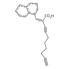 C#CCCCCC#C/C(=C/c1cccc2ccccc12)C(=O)O